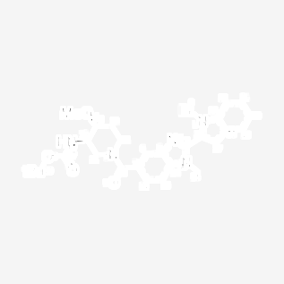 CCn1c(-c2nc3cc(C(=O)N4CC[C@H](OC)[C@H](NC(=O)OC(C)(C)C)C4)ccc3n2C)cc2ccccc21